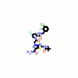 CC(C)(C)C(=O)Nc1nc2c(s1)c(C(N)=O)nn2CC(=O)N1C[C@H](F)C[C@H]1C(=O)NCc1cccc(Cl)c1F